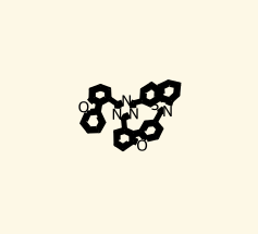 c1ccc(-c2nc(-c3cccc4oc5ccccc5c34)nc(-c3cccc4oc5ccc(-c6nc7ccccc7s6)cc5c34)n2)cc1